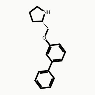 c1ccc(-c2cccc(OC[C@@H]3CCCN3)c2)cc1